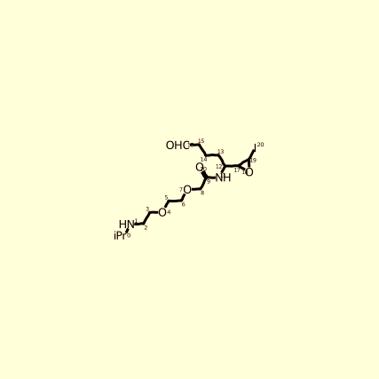 CC(C)NCCOCCOCC(=O)NC(CCCC=O)C1OC1I